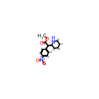 COC(=O)C(c1ccc([N+](=O)[O-])cc1)C1CCCCN1